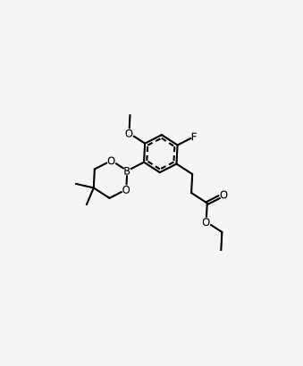 CCOC(=O)CCc1cc(B2OCC(C)(C)CO2)c(OC)cc1F